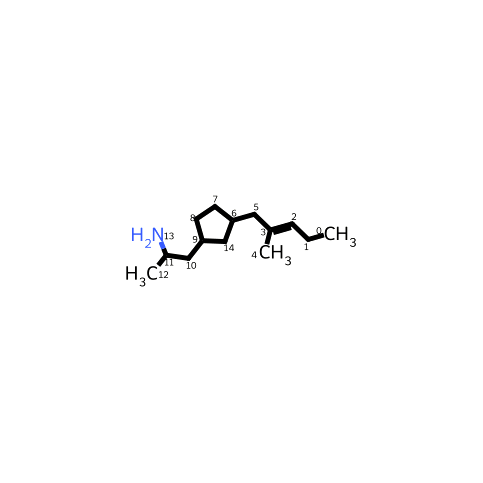 CC/C=C(\C)CC1CCC(CC(C)N)C1